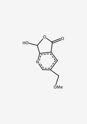 COCc1cnc2c(c1)C(=O)OC2O